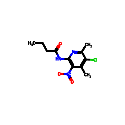 CCCC(=O)Nc1nc(C)c(Cl)c(C)c1[N+](=O)[O-]